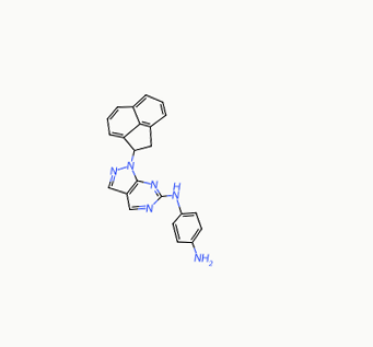 Nc1ccc(Nc2ncc3cnn(C4Cc5cccc6cccc4c56)c3n2)cc1